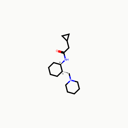 O=C(CC1CC1)N[C@@H]1CCCC[C@H]1CN1CCCCC1